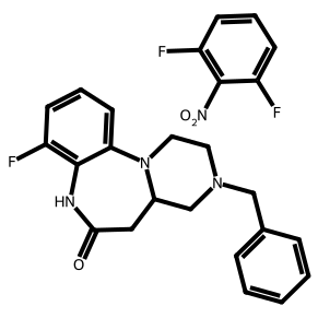 O=C1CC2CN(Cc3ccccc3)CCN2c2cccc(F)c2N1.O=[N+]([O-])c1c(F)cccc1F